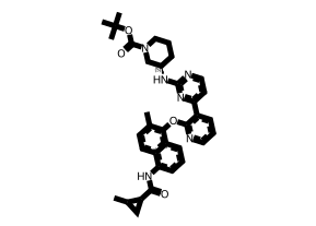 Cc1ccc2c(NC(=O)C3CC3C)cccc2c1Oc1ncccc1-c1ccnc(N[C@H]2CCCN(C(=O)OC(C)(C)C)C2)n1